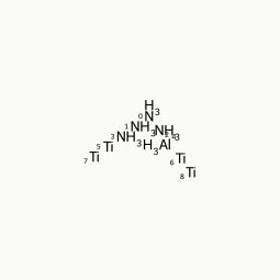 N.N.N.N.[AlH3].[Ti].[Ti].[Ti].[Ti]